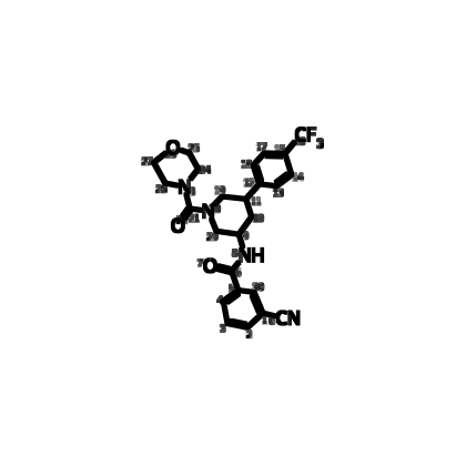 N#Cc1cccc(C(=O)NC2CC(c3ccc(C(F)(F)F)cc3)CN(C(=O)N3CCOCC3)C2)c1